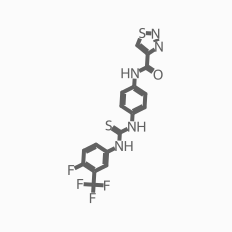 O=C(Nc1ccc(NC(=S)Nc2ccc(F)c(C(F)(F)F)c2)cc1)c1csnn1